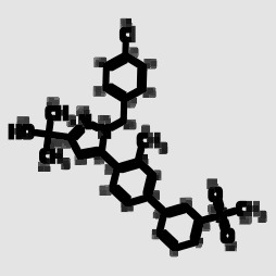 Cc1cc(-c2cccc(S(C)(=O)=O)c2)ccc1-c1cc(C(C)(C)O)nn1Cc1ccc(Cl)cc1